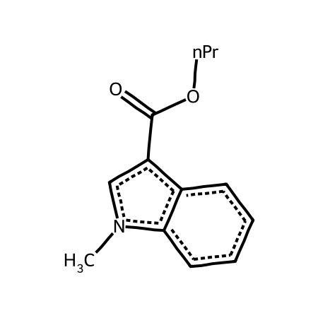 CCCOC(=O)c1cn(C)c2ccccc12